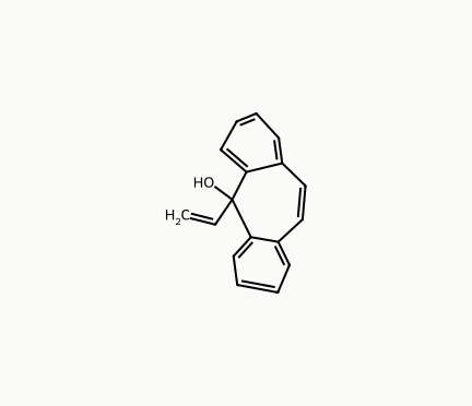 C=CC1(O)c2ccccc2C=Cc2ccccc21